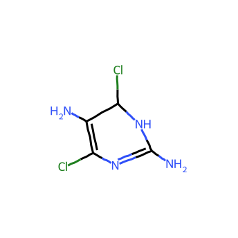 NC1=NC(Cl)=C(N)C(Cl)N1